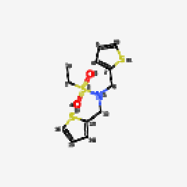 [CH2]CS(=O)(=O)N(Cc1cccs1)Cc1cccs1